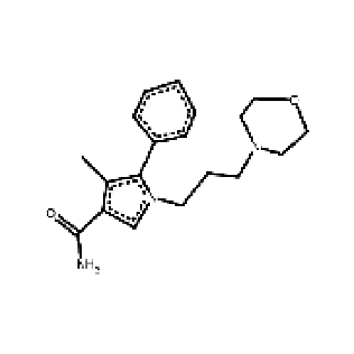 Cc1c(C(N)=O)cn(CCCN2CCOCC2)c1-c1ccccc1